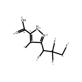 Cc1c(C(F)C(F)(F)CF)n[nH]c1C(=O)O